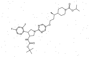 CC(C)OC(=O)N1CCC([C@H](C)CCOc2cnc(N3CC(NC(=O)OC(C)(C)C)C(c4ccc(F)cc4F)C3)nc2)CC1